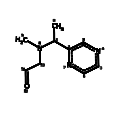 CC(c1cnccn1)N(C)CC=O